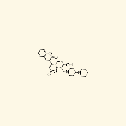 O=c1cc(-c2cc3ccccc3oc2=O)c2ccc(O)c(CN3CCC(N4CCCCC4)CC3)c2o1